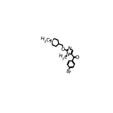 CN1CCC(COc2ncc(C(=O)c3ccc(Br)cc3)n2C)CC1